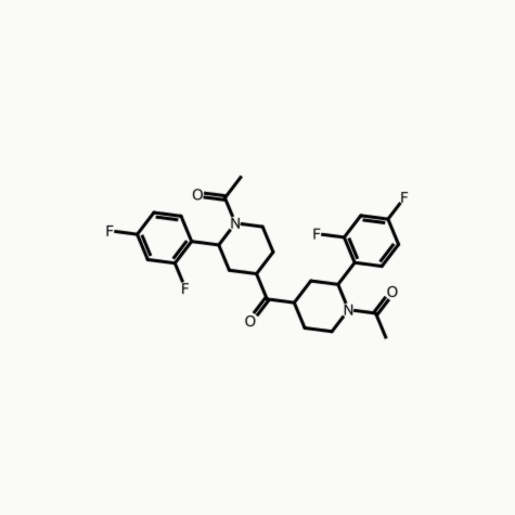 CC(=O)N1CCC(C(=O)C2CCN(C(C)=O)C(c3ccc(F)cc3F)C2)CC1c1ccc(F)cc1F